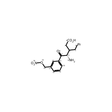 CC(C)CC(CC(=O)O)[C@H](N)C(=O)c1cccc(CO[N+](=O)[O-])c1